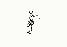 Cn1c(N2CCC3(CC2)Cc2ccccc2[C@H]3N)ncc(C#CC2CC2S(C)(=O)=O)c1=O